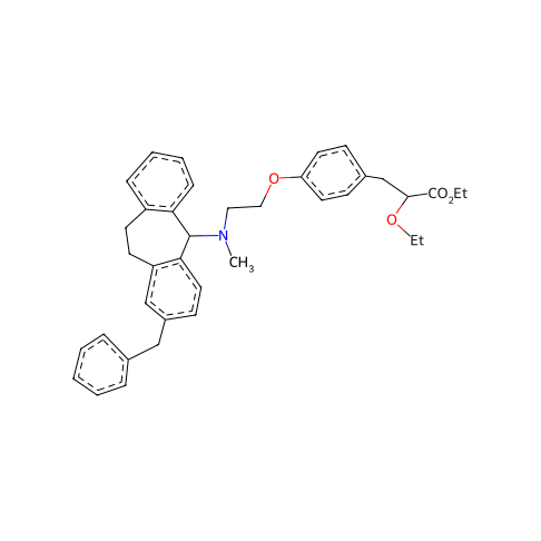 CCOC(=O)C(Cc1ccc(OCCN(C)C2c3ccccc3CCc3cc(Cc4ccccc4)ccc32)cc1)OCC